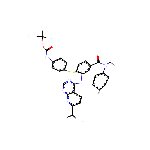 CCN(C(=O)c1ccc(Sc2ccc(NC(=O)OC(C)(C)C)cc2)c(Nc2ncnc3nc(C(C)C)ccc23)c1)c1ccc(C)cc1